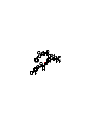 CCOC(=O)C1CN(C(=O)OCc2ccccc2)C1.O=C(COc1ccc(Cl)c(F)c1)NC12CC(n3cnc(C4CN(CC(F)(F)F)C4)c3)(C1)C2